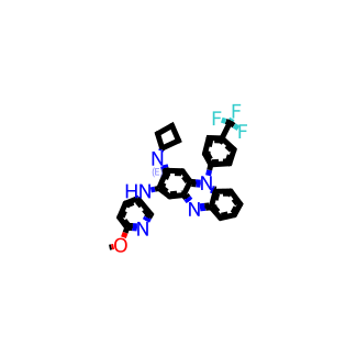 COc1ccc(Nc2cc3nc4ccccc4n(-c4ccc(C(F)(F)F)cc4)c-3c/c2=N\C2CCC2)cn1